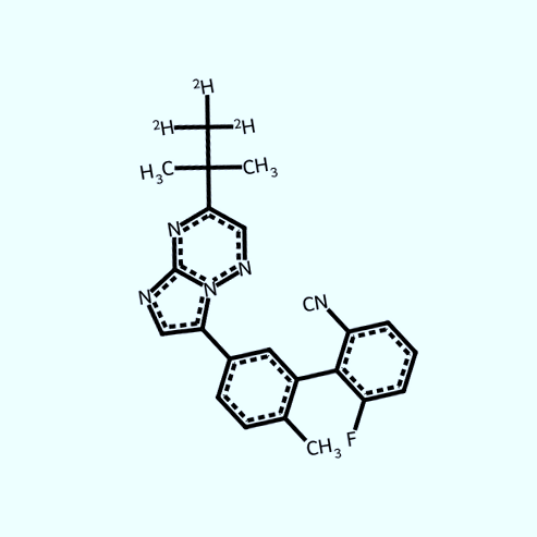 [2H]C([2H])([2H])C(C)(C)c1cnn2c(-c3ccc(C)c(-c4c(F)cccc4[N+]#[C-])c3)cnc2n1